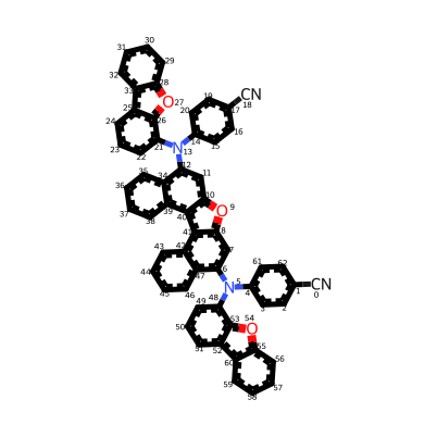 N#Cc1ccc(N(c2cc3oc4cc(N(c5ccc(C#N)cc5)c5cccc6c5oc5ccccc56)c5ccccc5c4c3c3ccccc23)c2cccc3c2oc2ccccc23)cc1